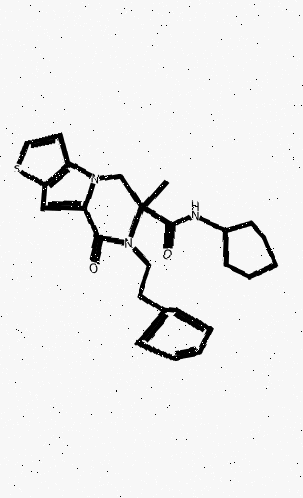 CC1(C(=O)NC2CCCCC2)Cn2c(cc3sccc32)C(=O)N1CCc1ccccc1